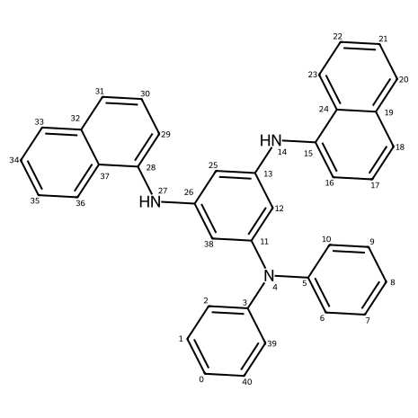 c1ccc(N(c2ccccc2)c2cc(Nc3cccc4ccccc34)cc(Nc3cccc4ccccc34)c2)cc1